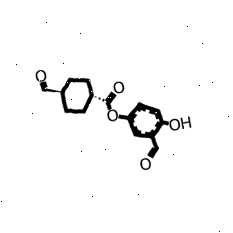 O=Cc1cc(OC(=O)[C@H]2CC[C@H](C=O)CC2)ccc1O